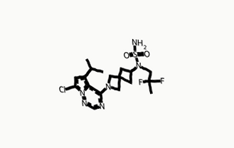 CC(C)c1cc(Cl)n2ncnc(N3CC4(CC(N(CC(C)(F)F)S(N)(=O)=O)C4)C3)c12